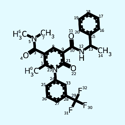 Cc1c(C(=O)N(C)C)cc(C(=O)NC(C)c2ccccc2)c(=O)n1-c1cccc(C(F)(F)F)c1